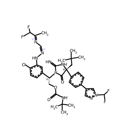 C/C(=N\C=N/Nc1cc([C@@H](COC(=O)NC(C)(C)C)N2C(=N)N[C@](CC(C)(C)C)(c3ccc(-c4cnn(C(F)F)c4)cc3)C2=O)ccc1Cl)C(F)F